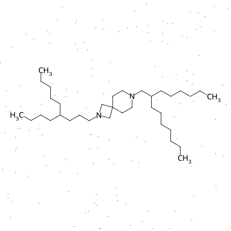 CCCCCCCC(CCCCCC)CN1CCC2(CC1)CN(CCCC(CCCC)CCCCC)C2